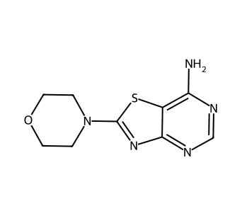 Nc1ncnc2nc(N3CCOCC3)sc12